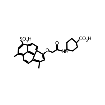 Cc1cc(OCC(=O)NC2CCC(C(=O)O)CC2)c2ccc3c(S(=O)(=O)O)cc(C)c4ccc1c2c43